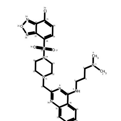 CN(C)CCCNc1nc(CN2CCN(S(=O)(=O)c3ccc(Cl)c4nonc34)CC2)nc2ccccc12